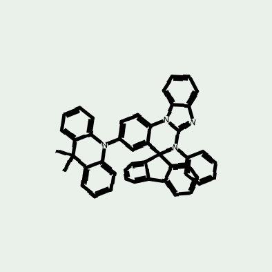 CC1(C)c2ccccc2N(c2ccc3c(c2)C2(c4ccccc4-c4ccccc42)N(c2ccccc2)c2nc4ccccc4n2-3)c2ccccc21